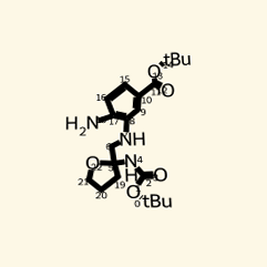 CC(C)(C)OC(=O)NC1(CNc2cc(C(=O)OC(C)(C)C)ccc2N)CCCO1